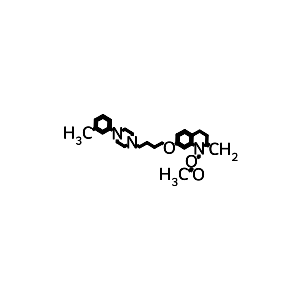 C=C1CCc2ccc(OCCCCN3CCN(c4cccc(C)c4)CC3)cc2N1COC(C)=O